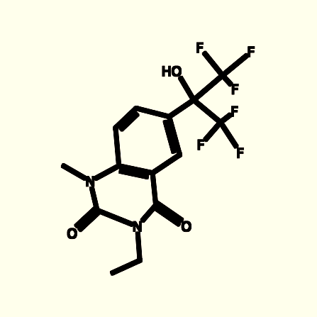 CCn1c(=O)c2cc(C(O)(C(F)(F)F)C(F)(F)F)ccc2n(C)c1=O